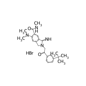 Br.CNC(=O)c1cc2c(cc1N(C)C)CN(CC(=O)c1cccc(C(C)(C)C)c1)C2=N